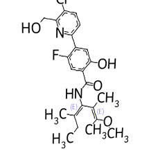 CC/C(C)=C(NC(=O)c1cc(F)c(-c2ccc(Cl)c(CO)n2)cc1O)\C(C)=C(/C)OC